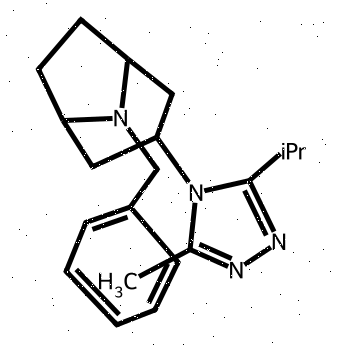 Cc1nnc(C(C)C)n1C1CC2CCC(C1)N2Cc1ccccc1